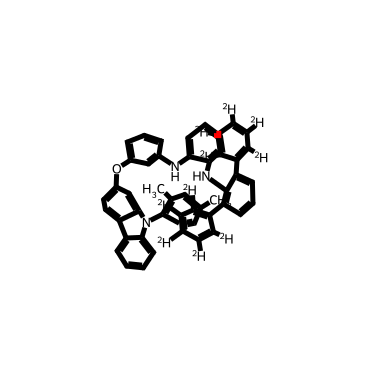 [2H]c1c([2H])c([2H])c(-c2cccc(-c3c([2H])c([2H])c([2H])c([2H])c3[2H])c2Nc2ccccc2Nc2cccc(Oc3ccc4c5ccccc5n(-c5ncc(C)cc5C)c4c3)c2)c([2H])c1[2H]